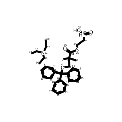 CC(C)(COC(c1ccccc1)(c1ccccc1)c1ccccc1)C(=O)SCC[PH](=O)O.CCN(CC)CC